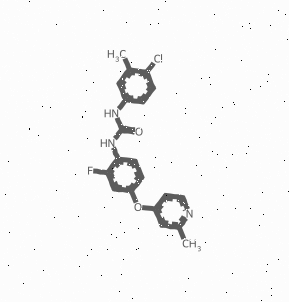 Cc1cc(Oc2ccc(NC(=O)Nc3ccc(Cl)c(C)c3)c(F)c2)ccn1